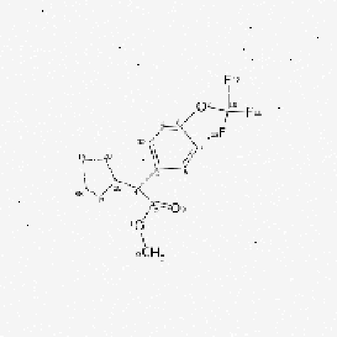 COC(=O)C(c1ccc(OC(F)(F)F)cc1)C1CCCC1